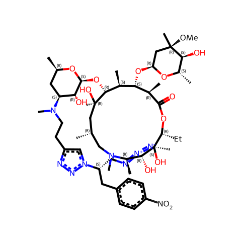 CC[C@H]1OC(=O)[C@H](C)[C@@H](O[C@H]2C[C@@](C)(OC)[C@@H](O)[C@H](C)O2)[C@H](C)[C@@H](O[C@@H]2O[C@H](C)C[C@H](N(C)CCc3cn([C@H](CN=[N+]=[N-])Cc4ccc([N+](=O)[O-])cc4)nn3)[C@H]2O)[C@](C)(O)C[C@@H](C)CN(C)[C@H](C)[C@@H](O)[C@]1(C)O